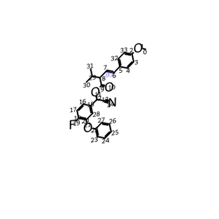 COc1ccc(/C=C/C(C(=O)OC(C#N)c2ccc(F)c(Oc3ccccc3)c2)C(C)C)cc1